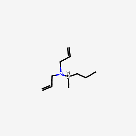 C=CCN(CC=C)[SiH](C)CCC